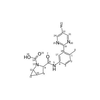 Cc1ccc(NC(=O)C2CC3CC3N2C(=O)O)cc1-c1ncc(F)cn1